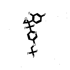 Fc1ccc(C2(C(F)(F)c3ccc(OCC(F)(F)F)cn3)CO2)c(F)c1